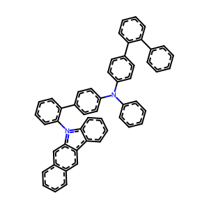 c1ccc(-c2ccccc2-c2ccc(N(c3ccccc3)c3ccc(-c4ccccc4-n4c5ccccc5c5cc6ccccc6cc54)cc3)cc2)cc1